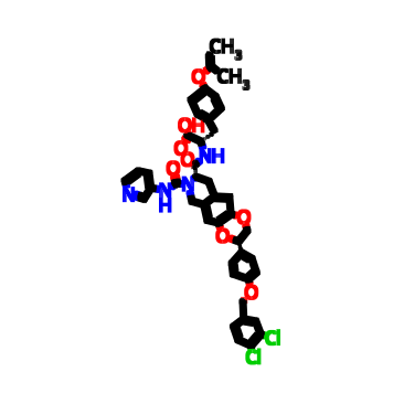 C/C=C(\C)Oc1ccc(C[C@H](NC(=O)[C@@H]2Cc3cc4c(cc3CN2C(=O)Nc2cccnc2)O[C@@H](c2ccc(OCc3ccc(Cl)c(Cl)c3)cc2)CO4)C(=O)O)cc1